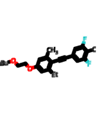 CCCCOCCOc1cc(C)c(C#Cc2cc(F)c(C#N)c(F)c2)c(CC)c1